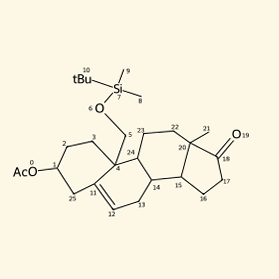 CC(=O)OC1CCC2(CO[Si](C)(C)C(C)(C)C)C(=CCC3C4CCC(=O)C4(C)CCC32)C1